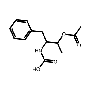 CC(=O)OC(C)C(Cc1ccccc1)NC(=O)O